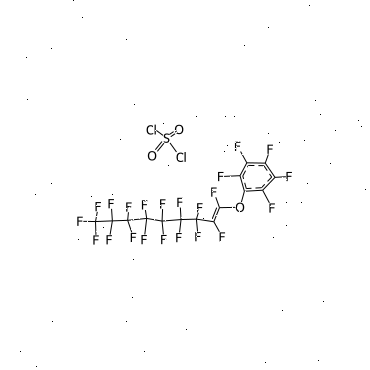 FC(Oc1c(F)c(F)c(F)c(F)c1F)=C(F)C(F)(F)C(F)(F)C(F)(F)C(F)(F)C(F)(F)C(F)(F)C(F)(F)F.O=S(=O)(Cl)Cl